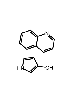 Oc1cc[nH]c1.c1ccc2ncccc2c1